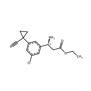 CCOC(=O)C[C@H](N)c1cc(Cl)cc(C2(C#N)CC2)c1